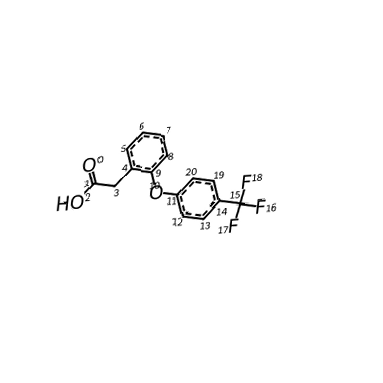 O=C(O)Cc1ccccc1Oc1ccc(C(F)(F)F)cc1